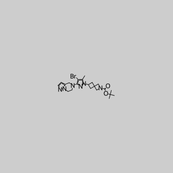 Cc1c(Br)c(N2CCn3nccc3C2)nn1C1CC2(C1)CN(C(=O)OC(C)(C)C)C2